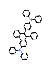 c1ccc(-c2c(-c3ccc(N(c4ccccc4)c4ccccc4)cc3)c3ccccc3c3cc(N(c4ccccc4)c4ccccc4)ccc23)cc1